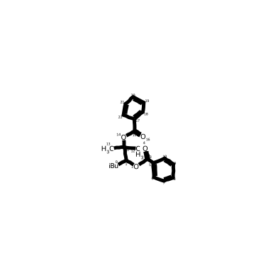 CCC(C)C(OC(=O)c1ccccc1)C(C)(C)OC(=O)c1ccccc1